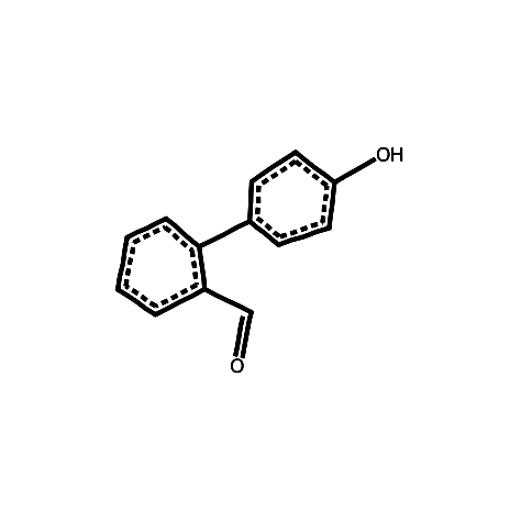 O=Cc1ccccc1-c1ccc(O)cc1